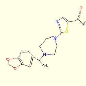 CCCC(=O)c1cnc(N2CCN(C(C)c3ccc4c(c3)OCO4)CC2)s1